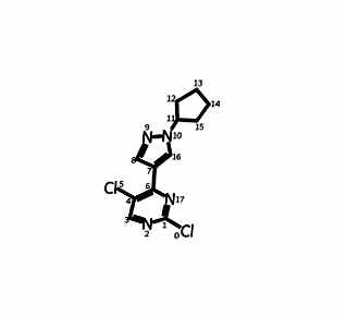 Clc1ncc(Cl)c(-c2cnn(C3CCCC3)c2)n1